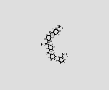 Nc1cccc(Oc2ccc(C(=O)c3cccc(C(O)c4ccc(Oc5cccc(N)c5)cc4)c3)cc2)c1